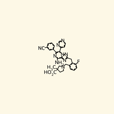 C[C@@]1(C(=O)O)CCN(Cc2cccc(F)c2Cc2nc3c(N)nc(-c4cccc(C#N)c4)c(-c4ccncn4)n3n2)C1